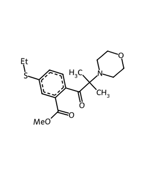 CCSc1ccc(C(=O)C(C)(C)N2CCOCC2)c(C(=O)OC)c1